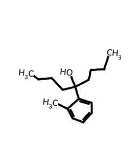 CCCCC(O)(CCCC)c1ccccc1C